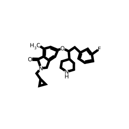 Cc1cc(OC(Cc2cccc(F)c2)C2CCNCC2)cc2c1C(=O)N(CC1CC1)C2